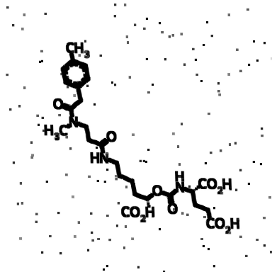 Cc1ccc(CC(=O)N(C)CCC(=O)NCCCC[C@H](OC(=O)N[C@@H](CCC(=O)O)C(=O)O)C(=O)O)cc1